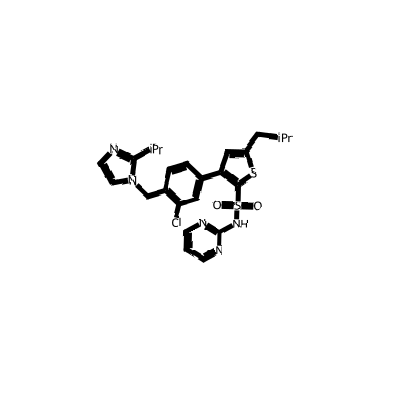 CC(C)Cc1cc(-c2ccc(Cn3ccnc3C(C)C)c(Cl)c2)c(S(=O)(=O)Nc2ncccn2)s1